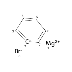 [Br-].[Mg+2].[c-]1ccccc1